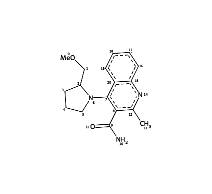 COCC1CCCN1c1c(C(N)=O)c(C)nc2c[c]ccc12